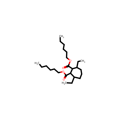 CCCCCCOC(=O)C1C(CC)CCCC(CC)C1C(=O)OCCCCCC